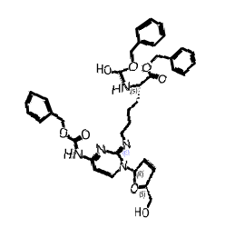 O=C(Nc1ccn([C@H]2CC[C@@H](CO)O2)/c(=N/CCCC[C@H](NC(O)OCc2ccccc2)C(=O)OCc2ccccc2)n1)OCc1ccccc1